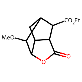 CCOC(=O)C1C2CC3C(OC(=O)C31)C2OC